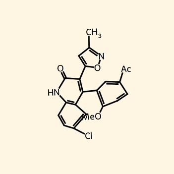 COc1ccc(C(C)=O)cc1-c1c(-c2cc(C)no2)c(=O)[nH]c2ccc(Cl)cc12